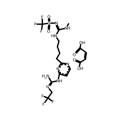 CN/C(=N/S(=O)(=O)C(F)(F)F)NCCCCc1nccc(N/C(N)=N\CC(F)(F)F)n1.O=C(O)/C=C\C(=O)O